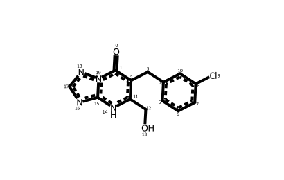 O=c1c(Cc2cccc(Cl)c2)c(CO)[nH]c2ncnn12